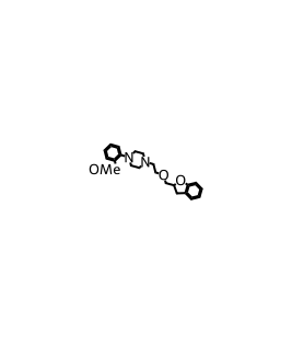 COc1ccccc1N1CCN(CCOCC2Cc3ccccc3O2)CC1